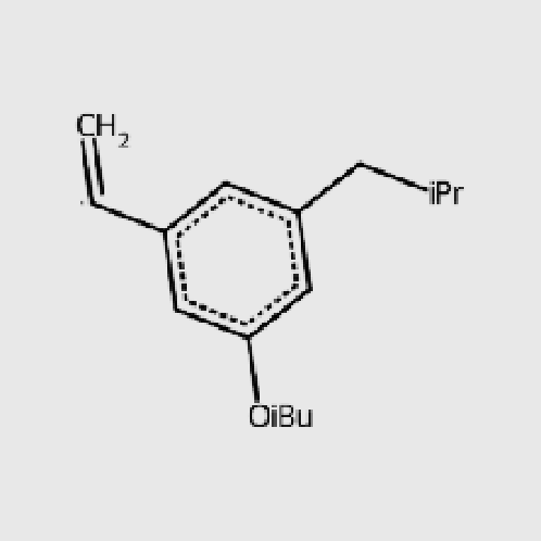 C=[C]c1cc(CC(C)C)cc(OCC(C)C)c1